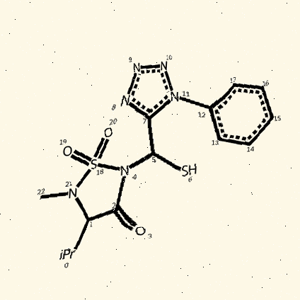 CC(C)C1C(=O)N(C(S)c2nnnn2-c2ccccc2)S(=O)(=O)N1C